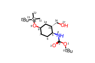 CC(C)(C)OC(=O)N[C@H]1CC[C@@H](O[Si](C)(C)C(C)(C)C)C[C@@H]1CO